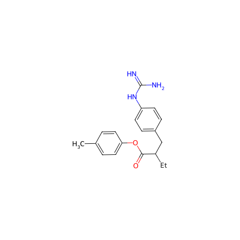 CCC(Cc1ccc(NC(=N)N)cc1)C(=O)Oc1ccc(C)cc1